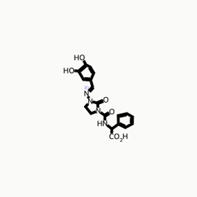 O=C(O)C(NC(=O)N1CCN(/N=C/c2ccc(O)c(O)c2)C1=O)c1ccccc1